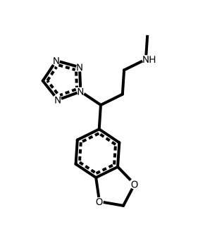 CNCCC(c1ccc2c(c1)OCO2)n1ncnn1